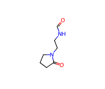 O=CNCCN1CCCC1=O